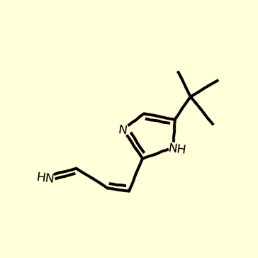 CC(C)(C)c1cnc(/C=C\C=N)[nH]1